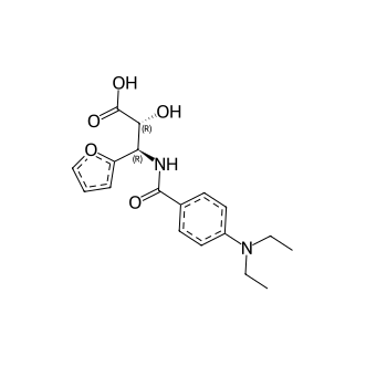 CCN(CC)c1ccc(C(=O)N[C@@H](c2ccco2)[C@@H](O)C(=O)O)cc1